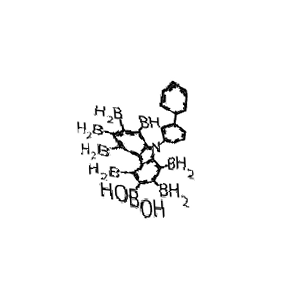 Bc1c(B)c(B)c2c(c1B)c1c(B)c(B(O)O)c(B)c(B)c1n2-c1cccc(-c2ccccc2)c1